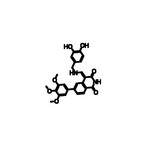 COc1cc(-c2ccc3c(c2)/C(=C\NCc2ccc(O)c(O)c2)C(=O)NC3=O)cc(OC)c1OC